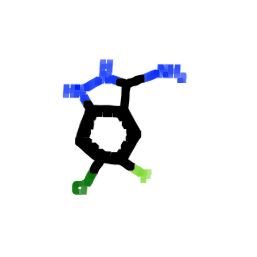 NC1NNc2cc(Cl)c(F)cc21